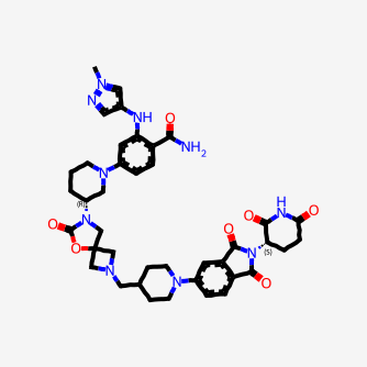 Cn1cc(Nc2cc(N3CCC[C@@H](N4CC5(CN(CC6CCN(c7ccc8c(c7)C(=O)N([C@H]7CCC(=O)NC7=O)C8=O)CC6)C5)OC4=O)C3)ccc2C(N)=O)cn1